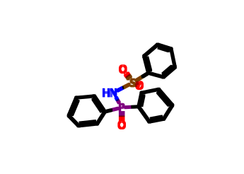 O=P(NS(=O)(=O)c1ccccc1)(c1ccccc1)c1ccccc1